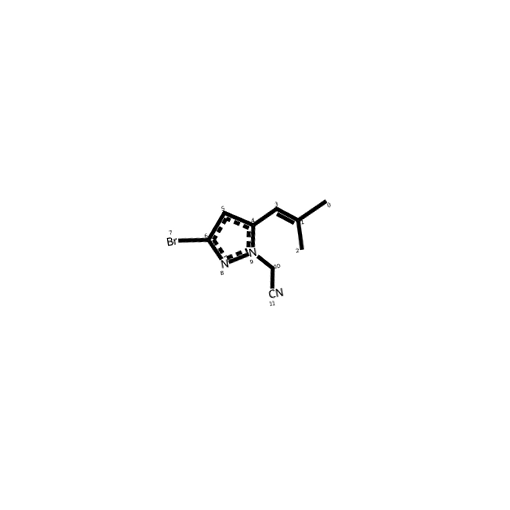 CC(C)=Cc1cc(Br)nn1CC#N